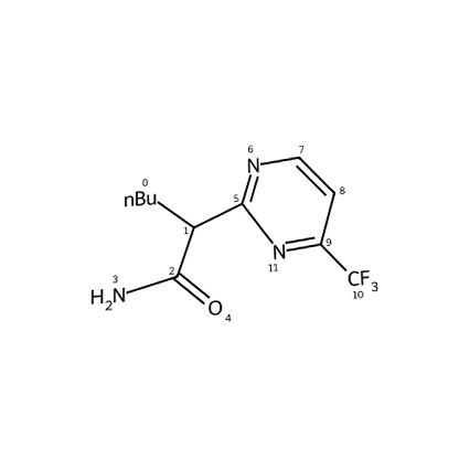 CCCCC(C(N)=O)c1nccc(C(F)(F)F)n1